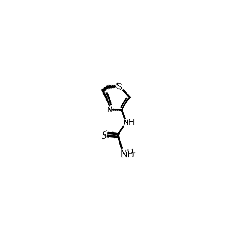 [NH]C(=S)Nc1cscn1